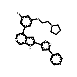 Fc1cc(OCCN2CCCC2)cc(-c2cncc3[nH]c(-c4cc(-c5ccncc5)[nH]n4)cc23)c1